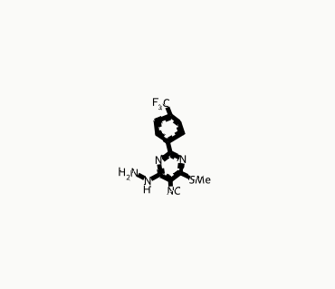 [C-]#[N+]c1c(NN)nc(-c2ccc(C(F)(F)F)cc2)nc1SC